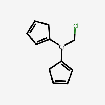 Cl[CH2][Cr]([C]1=CC=CC1)[C]1=CC=CC1